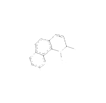 NC1C=Cc2ccc3cccnc3c2N1N